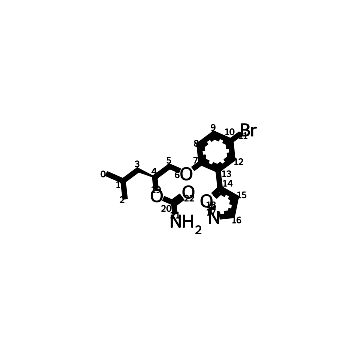 CC(C)C[C@@H](COc1ccc(Br)cc1-c1ccno1)OC(N)=O